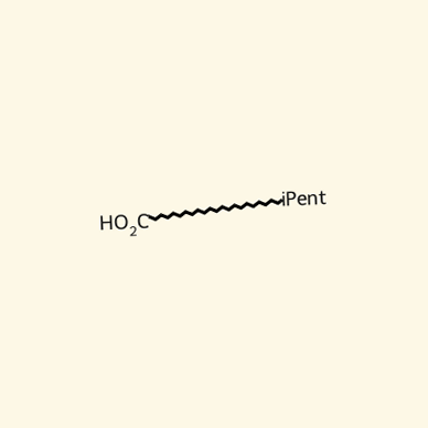 CCCC(C)CCCCCCCCCCCCCCCCCCCCCCC(=O)O